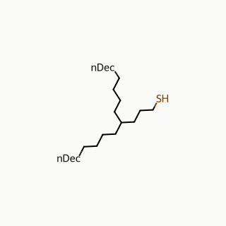 CCCCCCCCCCCCCCC(CCCS)CCCCCCCCCCCCCC